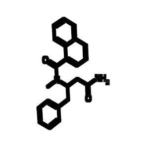 CN(C(=O)c1cccc2ccccc12)C(CC(N)=O)Cc1ccccc1